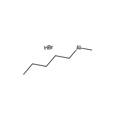 Br.CCCC[CH2][Al][CH3]